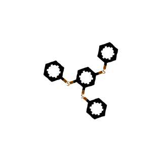 c1ccc(Sc2ccc(Sc3ccccc3)c(Sc3ccccc3)c2)cc1